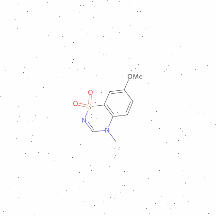 COc1ccc2c(c1)S(=O)(=O)N=CN2C